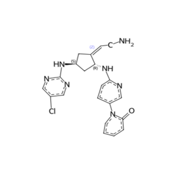 NC/C=C1/C[C@H](Nc2ncc(Cl)cn2)C[C@H]1Nc1ccc(-n2ccccc2=O)cn1